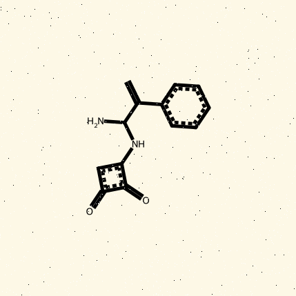 C=C(c1ccccc1)C(N)Nc1cc(=O)c1=O